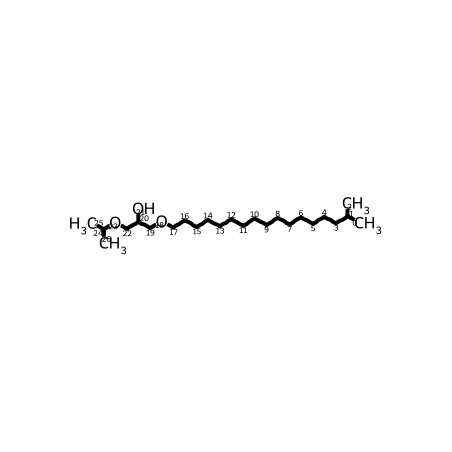 CC(C)CCCCCCCCCCCCCCCOCC(O)COC(C)C